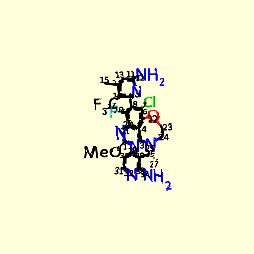 COc1nc2c3c(c(Cl)c(-c4nc(N)cc(C)c4C(F)(F)F)c(F)c3n1)OCCN2[C@H](C)c1cccnc1N